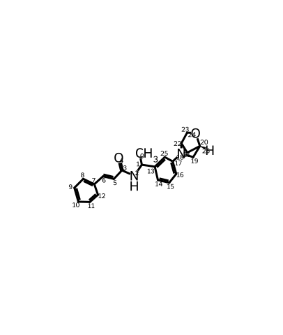 CC(NC(=O)C=Cc1ccccc1)c1cccc(N2C[C@@H]3CC2CO3)c1